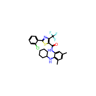 Cc1cc(C)c(NC2CCCCC2)c(NC(=O)c2sc(-c3ccccc3Cl)nc2C(F)(F)F)c1